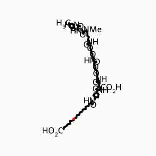 CNC(CCCCNC(=O)COCCOCCNC(=O)COCCOCCNC(=O)CCC(NC(=O)C1CCC(CNC(=O)CCCCCCCCCCCCCCCCCCC(=O)O)CC1)C(=O)O)C(=O)CN[C@@H](Cc1ccc(C)cc1)C(N)=O